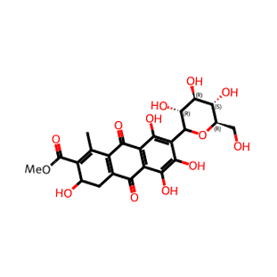 COC(=O)C1=C(C)C2=C(CC1O)C(=O)c1c(O)c(O)c(C3O[C@H](CO)[C@@H](O)[C@H](O)[C@H]3O)c(O)c1C2=O